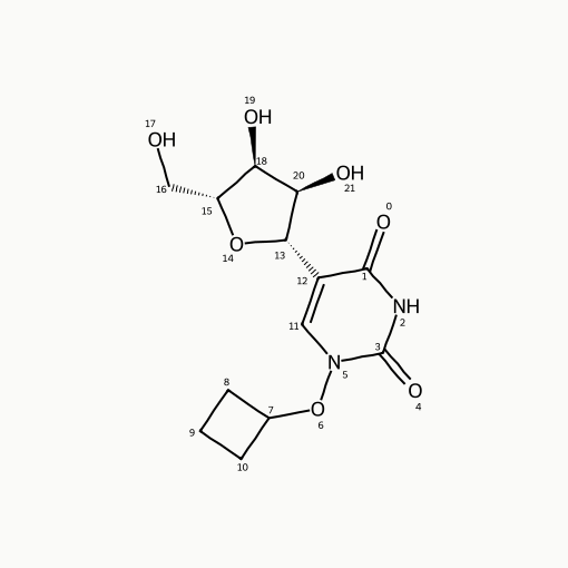 O=c1[nH]c(=O)n(OC2CCC2)cc1[C@@H]1O[C@H](CO)[C@@H](O)[C@H]1O